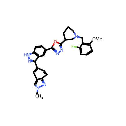 COc1cccc(F)c1CN1CCCC(c2nnc(-c3ccc4[nH]nc(-c5ccc6nn(C)cc6c5)c4c3)o2)C1